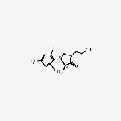 Cc1cc(F)c([C@@H]2CN(CCO)C(=O)[C@H]2C)c(F)c1